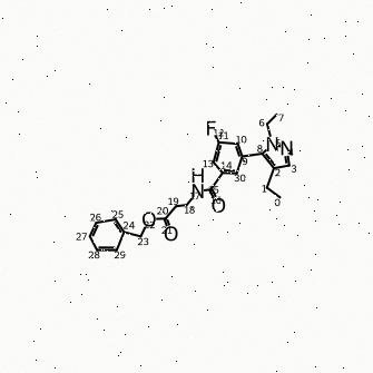 CCc1cnn(CC)c1-c1cc(F)cc(C(=O)NCCC(=O)OCc2ccccc2)c1